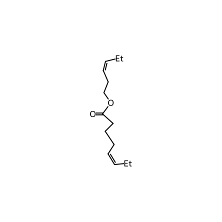 CC/C=C\CCCC(=O)OCC/C=C\CC